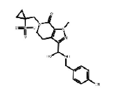 Cn1nc(C(O)NCc2ccc(C#N)cc2)c2c1C(=O)N(CC1(S(=O)(=O)Cl)CC1)CC2